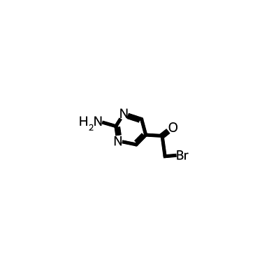 Nc1ncc(C(=O)CBr)cn1